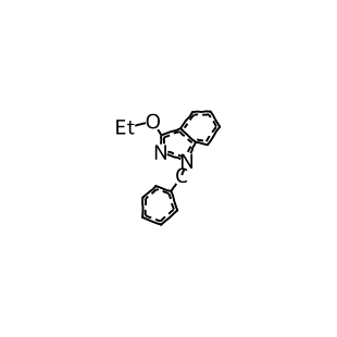 CCOc1nn(Cc2ccccc2)c2ccccc12